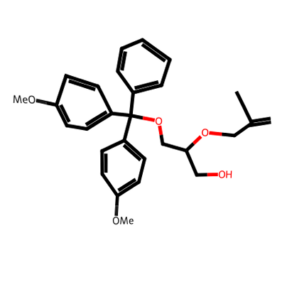 C=C(C)COC(CO)COC(c1ccccc1)(c1ccc(OC)cc1)c1ccc(OC)cc1